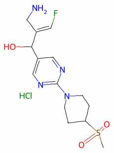 CS(=O)(=O)C1CCN(c2ncc(C(O)C(=CF)CN)cn2)CC1.Cl